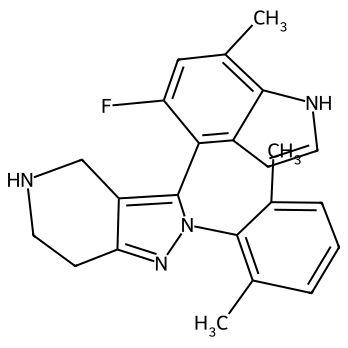 Cc1cccc(C)c1-n1nc2c(c1-c1c(F)cc(C)c3[nH]ccc13)CNCC2